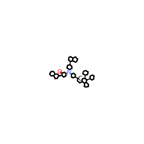 c1ccc(-c2c(-c3ccccc3)c3cc(-c4ccc(N(c5ccc(-c6cccc7ccccc67)cc5)c5ccc6c(c5)oc5c7ccccc7ccc65)cc4)ccc3c3ccccc23)cc1